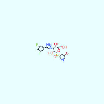 [O-][S+](c1cncc(Br)c1)[C@H]1OC(CO)[C@H](O)[C@H](n2cc(-c3cc(F)c(F)c(F)c3)nn2)C1O